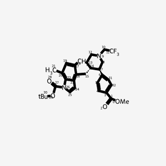 COC(=O)c1ccc([C@@H]2CN(CC(F)(F)F)CC[C@H]2Cc2c(C)cc(C)c3c2ccn3C(=O)OC(C)(C)C)cc1